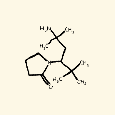 CC(C)(N)CC(N1CCCC1=O)C(C)(C)C